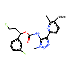 CC(=O)Nc1ccc(-c2nnn(C)c2NC(=O)O[C@H](CCF)c2cccc(F)c2)nc1C